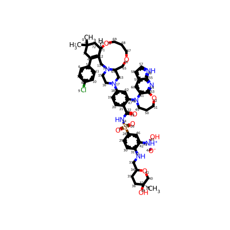 CC1(C)CC(c2ccc(Cl)cc2)=C2CN3CCN(c4ccc(C(=O)NS(=O)(=O)c5ccc(NCC6CC[C@](C)(O)CO6)c([NH+]([O-])O)c5)c(N5CCCOc6nc7[nH]ccc7cc65)c4)CC3COCCCO[C@@H]2C1